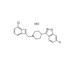 Cl.Fc1ccc2c(C3CCN(CC4=Cc5c(Cl)cccc54)CC3)noc2c1